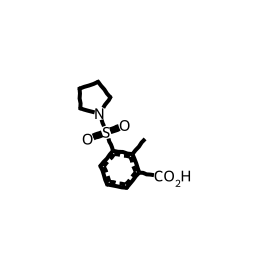 Cc1c(C(=O)O)cccc1S(=O)(=O)N1CCCC1